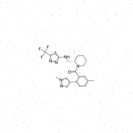 Cc1ccc(-c2cnn(C)c2)c(C(=O)N2CCC[C@@H](C)[C@H]2CNc2nnc(C(F)(F)F)s2)c1